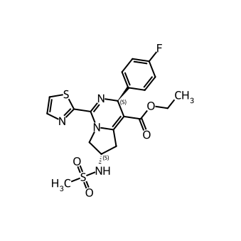 CCOC(=O)C1=C2C[C@H](NS(C)(=O)=O)CN2C(c2nccs2)=N[C@H]1c1ccc(F)cc1